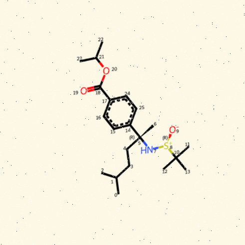 CC(C)CC[C@@](C)(N[S@@+]([O-])C(C)(C)C)c1ccc(C(=O)OC(C)C)cc1